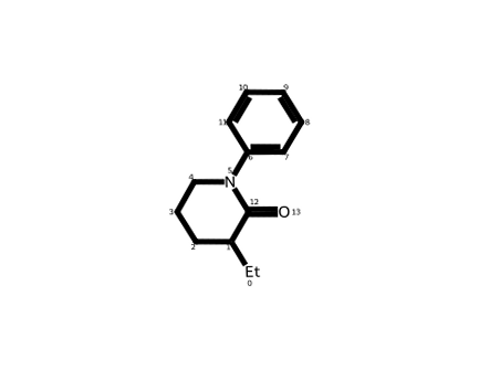 [CH2]CC1CCCN(c2ccccc2)C1=O